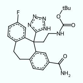 CC(C)(C)OC(=O)NCCC1(c2nnn[nH]2)c2cc(F)ccc2CCc2ccc(C(N)=O)cc21